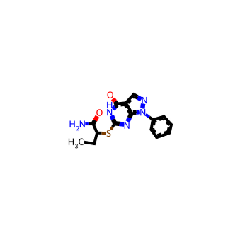 CCC(Sc1nc2c(cnn2-c2ccccc2)c(=O)[nH]1)C(N)=O